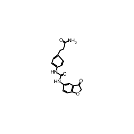 NC(=O)CCc1ccc(NC(=O)Nc2ccc3c(c2)C(=O)CO3)cc1